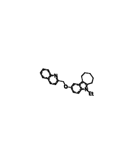 CCn1c2c(c3cc(OCc4ccc5ccccc5n4)ccc31)CCCCC2